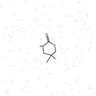 CC1(C)CNC(=O)OC1